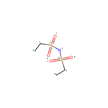 CCS(=O)(=O)[N]S(=O)(=O)CC